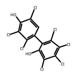 Oc1c(Cl)cc(-c2c(O)c(Cl)c(Cl)c(Cl)c2Cl)c(Cl)c1Cl